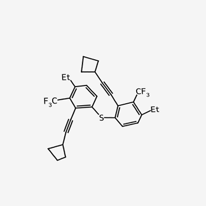 CCc1ccc(Sc2ccc(CC)c(C(F)(F)F)c2C#CC2CCC2)c(C#CC2CCC2)c1C(F)(F)F